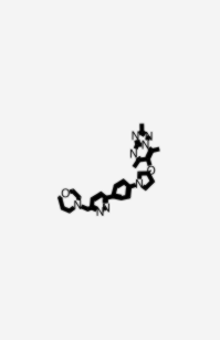 Cc1nc2nc(C)c(O[C@@H]3CCN(c4ccc(-c5ccc(CN6CCCOCC6)nn5)cc4)C3)c(C)n2n1